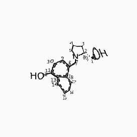 OC[C@H]1CCCN1Cc1ccc(O)c2ccccc12